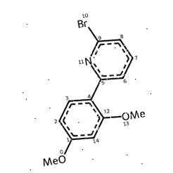 COc1ccc(-c2cccc(Br)n2)c(OC)c1